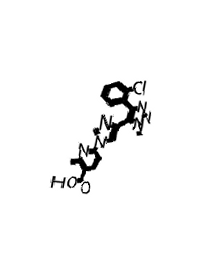 Cc1nc(-n2cnc(-c3c(-c4ccccc4Cl)nnn3C)c2)ccc1C(=O)O